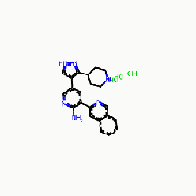 Cl.Cl.Cl.Nc1ncc(-c2c[nH]nc2C2CCNCC2)cc1-c1cc2ccccc2cn1